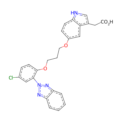 O=C(O)Cc1c[nH]c2ccc(OCCCOc3ccc(Cl)cc3-n3nc4ccccc4n3)cc12